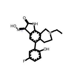 CCN1CCc2c(-c3cc(F)ccc3O)cc3c(c2C1)NC(=O)/C3=N\O